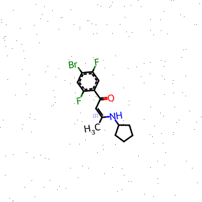 C/C(=C/C(=O)c1cc(F)c(Br)cc1F)NC1CCCC1